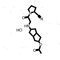 CC(=O)OC1CC2CC(NCC(=O)N3CCCC3C#N)CC2C1.Cl